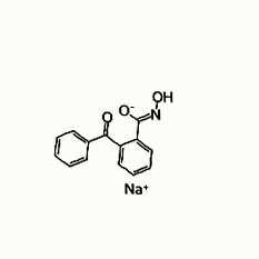 O=C(c1ccccc1)c1ccccc1C([O-])=NO.[Na+]